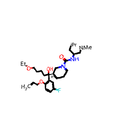 C=CCOc1ccc(F)cc1C(O)(CCCCOCC)[C@@H]1CCCN(C(=O)NC(CNC)CC(C)C)C1